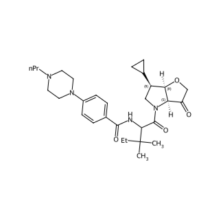 CCCN1CCN(c2ccc(C(=O)NC(C(=O)N3C[C@@H](C4CC4)[C@H]4OCC(=O)[C@H]43)C(C)(C)CC)cc2)CC1